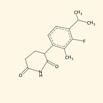 Cc1c(C2CCC(=O)NC2=O)ccc(C(C)C)c1F